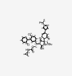 CC(C)(C)C[C@]1(C2CC=C(c3cnn(C(F)F)c3)C=C2F)NC(=N)N([C@H](COC(=O)NC2CC2)c2ccc(Cl)c(-c3ncccc3Cl)c2)C1=O